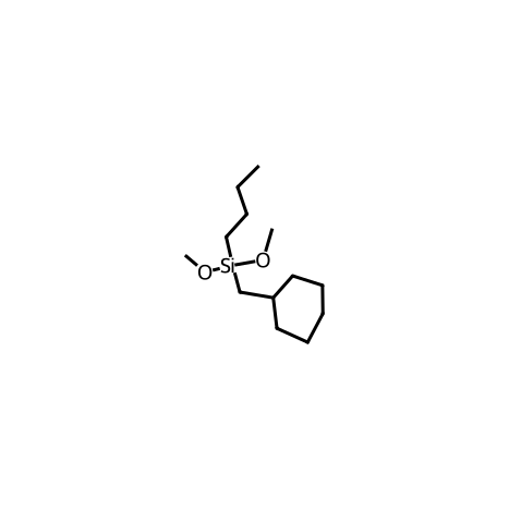 CCCC[Si](CC1CCCCC1)(OC)OC